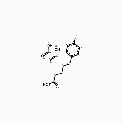 O=C(O)CCCOc1ccc(Cl)cc1.O=CO.O=CO